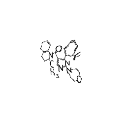 CC1CCC2=C(C=CCC2)N1C(=O)c1cnc(N2CCOCC2)nc1-c1ccccc1F